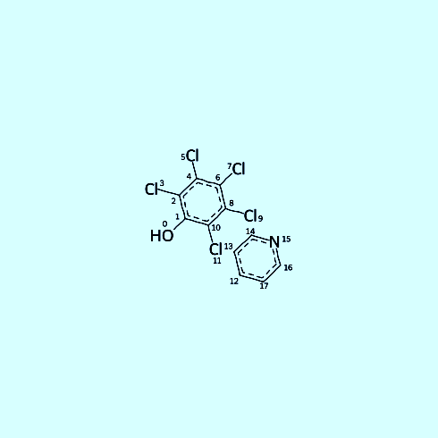 Oc1c(Cl)c(Cl)c(Cl)c(Cl)c1Cl.c1ccncc1